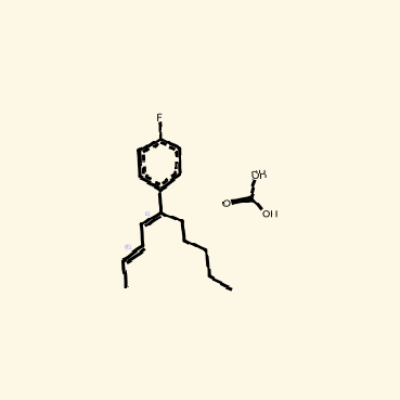 C/C=C/C=C(\CCCCC)c1ccc(F)cc1.O=C(O)O